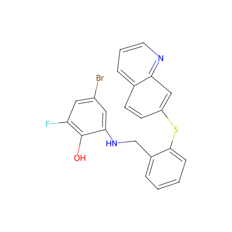 Oc1c(F)cc(Br)cc1NCc1ccccc1Sc1ccc2cccnc2c1